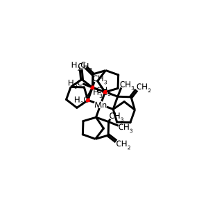 C=C1C2CC[C]([Mn]([C]34CCC(C3)C(=C)C4(C)C)([C]34CCC(C3)C(=C)C4(C)C)[C]34CCC(C3)C(=C)C4(C)C)(C2)C1(C)C